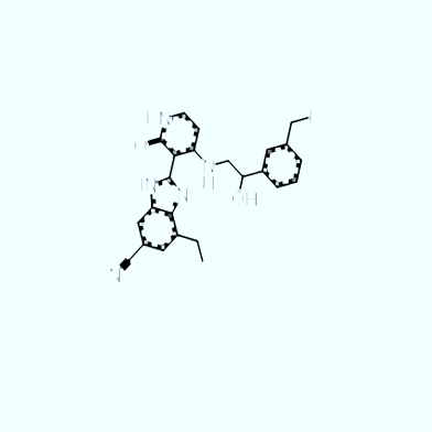 CCc1cc(C#N)cc2[nH]c(-c3c(NCC(O)c4cccc(CI)c4)cc[nH]c3=O)nc12